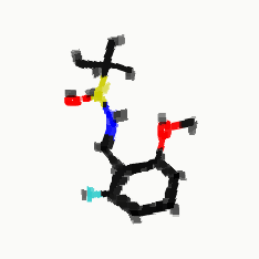 COc1cccc(F)c1C=N[S@@+]([O-])C(C)(C)C